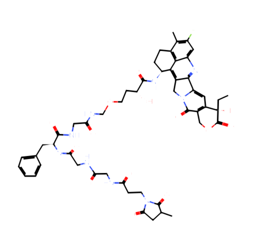 CC[C@@]1(O)C(=O)OCc2c1cc1n(c2=O)Cc2c-1nc1cc(F)c(C)c3c1c2[C@@H](NC(=O)[C@H](O)CCOCNC(=O)CNC(=O)[C@H](Cc1ccccc1)NC(=O)CNC(=O)CNC(=O)CCN1C(=O)CC(C)C1=O)CC3